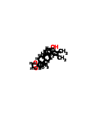 C=CCC1(CC=C)C2=CCC3[C@H](CC[C@@]4(C)[C@H]3CCC43OCCO3)[C@@]2(C)CCC1O